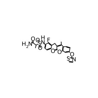 Cc1c(Cc2cccc(NS(=O)(=O)C(C)C(N)=O)c2F)c(=O)oc2cc(Oc3nccs3)ccc12